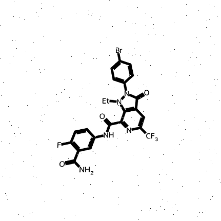 CCn1c2c(C(=O)Nc3ccc(F)c(C(N)=O)c3)nc(C(F)(F)F)cc2c(=O)n1-c1ccc(Br)cc1